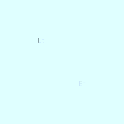 [CH2]CC/C=C/CC